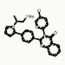 COCC(C)n1cccc1-c1ccc(-c2nc3ccccc3c(=O)n2-c2ccc(Cl)cn2)cc1